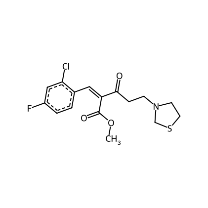 COC(=O)C(=Cc1ccc(F)cc1Cl)C(=O)CCN1CCSC1